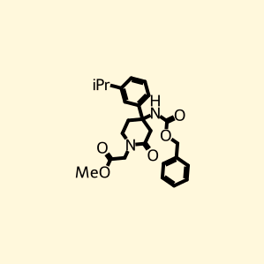 COC(=O)CN1CCC(NC(=O)OCc2ccccc2)(c2cccc(C(C)C)c2)CC1=O